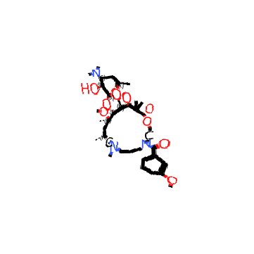 COc1cccc(C(=O)N2CCCN(C)C[C@H](C)C[C@@](C)(OC)[C@H](O[C@@H]3O[C@H](C)C[C@H](N(C)C)[C@H]3O)[C@@H](C)C(=O)C(C)(C)C(=O)OCC2)c1